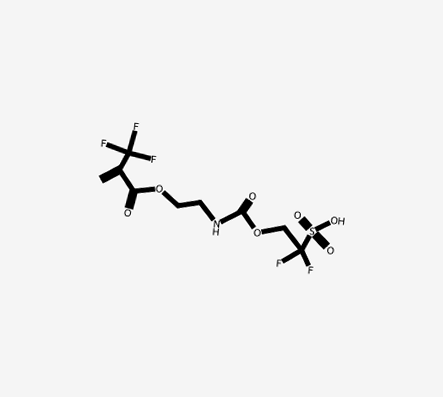 C=C(C(=O)OCCNC(=O)OCC(F)(F)S(=O)(=O)O)C(F)(F)F